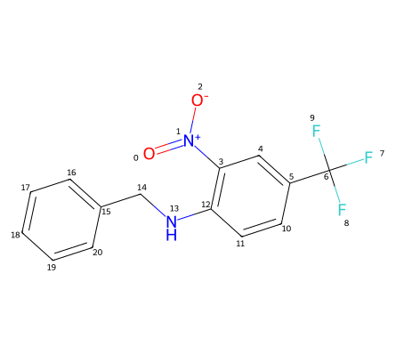 O=[N+]([O-])c1cc(C(F)(F)F)ccc1NCc1ccccc1